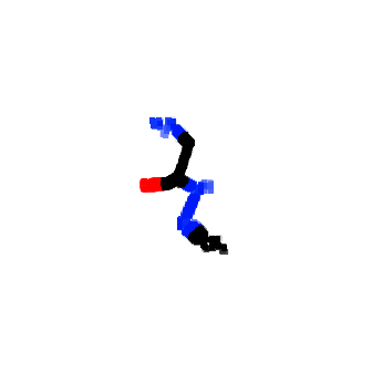 C=NNC(=O)CN